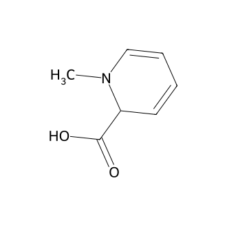 CN1C=CC=CC1C(=O)O